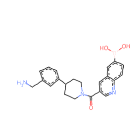 NCc1cccc(C2CCN(C(=O)c3cnc4ccc(B(O)O)cc4c3)CC2)c1